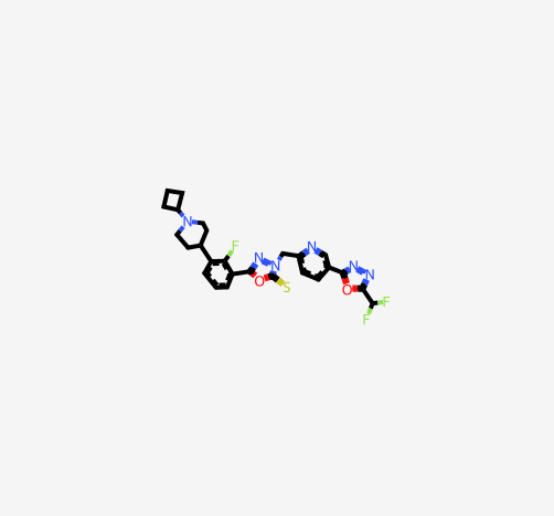 Fc1c(-c2nn(Cc3ccc(-c4nnc(C(F)F)o4)cn3)c(=S)o2)cccc1C1CCN(C2CCC2)CC1